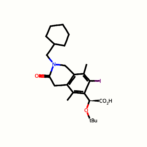 Cc1c(I)c([C@H](OC(C)(C)C)C(=O)O)c(C)c2c1CN(CC1CCCCC1)C(=O)C2